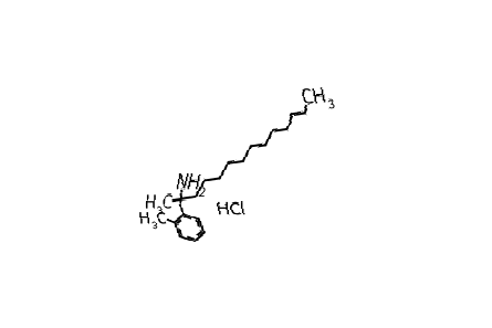 CCCCCCCCCCCCC(C)(N)c1ccccc1C.Cl